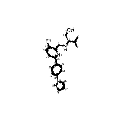 CC(C)[C@H](CO)NCc1nc(-c2ccc(-n3cccn3)cc2)ccc1F